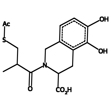 CC(=O)SCC(C)C(=O)N1Cc2ccc(O)c(O)c2CC1C(=O)O